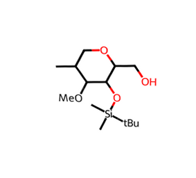 COC1C(C)COC(CO)C1O[Si](C)(C)C(C)(C)C